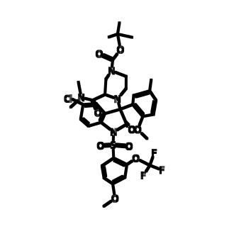 COc1ccc(S(=O)(=O)N2C(=O)C(c3cc(C)ccc3OC)(N3CCN(C(=O)OC(C)(C)C)CC3C(=O)N(C)C)c3cc(Cl)ccc32)c(OC(F)(F)F)c1